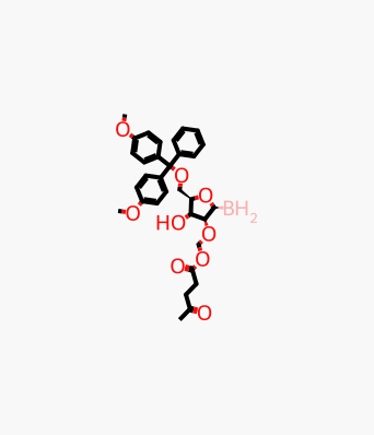 B[C@@H]1O[C@H](COC(c2ccccc2)(c2ccc(OC)cc2)c2ccc(OC)cc2)C(O)[C@@H]1OCOC(=O)CCC(C)=O